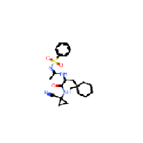 CC(=NS(=O)(=O)c1ccccc1)N[C@@H](CC1(C)CCCCC1)C(=O)NC1(C#N)CC1